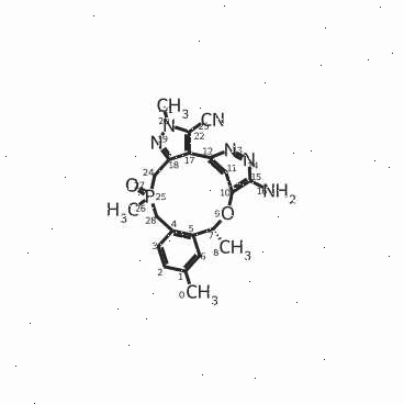 Cc1ccc2c(c1)[C@@H](C)Oc1cc(nnc1N)-c1c(nn(C)c1C#N)CP(C)(=O)C2